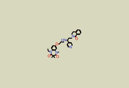 CCN1C(=O)C(C)(C)C(=O)N(C)c2cc(OCCCNC(CCN3CCc4ccccc4C3=O)c3ccncc3)ccc21